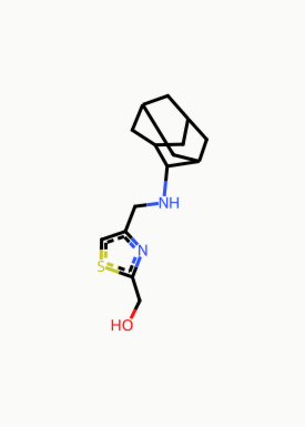 OCc1nc(CNC2C3CC4CC(C3)CC2C4)cs1